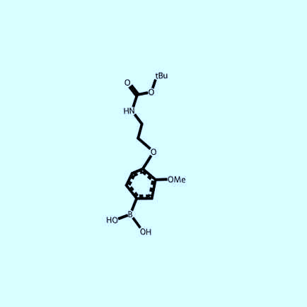 COc1cc(B(O)O)ccc1OCCNC(=O)OC(C)(C)C